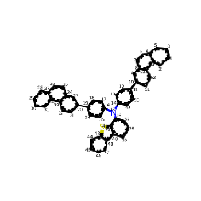 c1ccc2c(c1)ccc1cc(-c3ccc(N(c4ccc(-c5ccc6c(ccc7ccccc76)c5)cc4)c4cccc5c4sc4ccccc45)cc3)ccc12